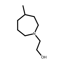 CC1CCCN(CCO)CC1